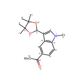 CCn1cc(B2OC(C)(C)C(C)(C)O2)c2cc(C(=O)OC)ccc21